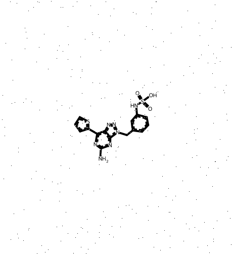 Nc1nc(-c2cccs2)c2nnn(Cc3cccc(NS(=O)(=O)O)c3)c2n1